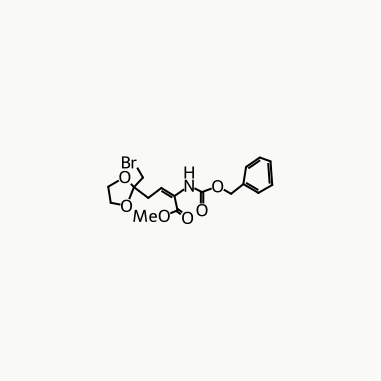 COC(=O)C(=CCC1(CBr)OCCO1)NC(=O)OCc1ccccc1